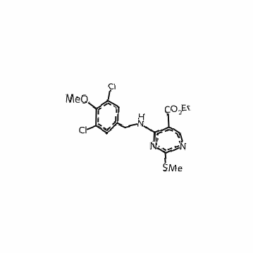 CCOC(=O)c1cnc(SC)nc1NCc1cc(Cl)c(OC)c(Cl)c1